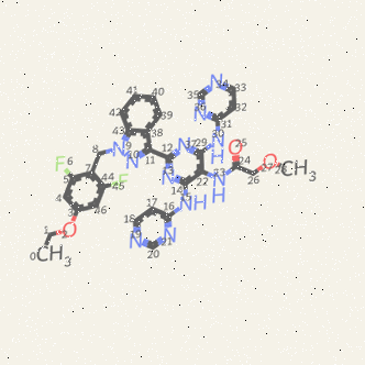 CCOc1cc(F)c(Cn2nc(-c3nc(Nc4ccncn4)c(NC(=O)COC)c(Nc4ccncn4)n3)c3ccccc32)c(F)c1